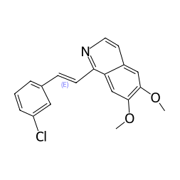 COc1cc2ccnc(/C=C/c3cccc(Cl)c3)c2cc1OC